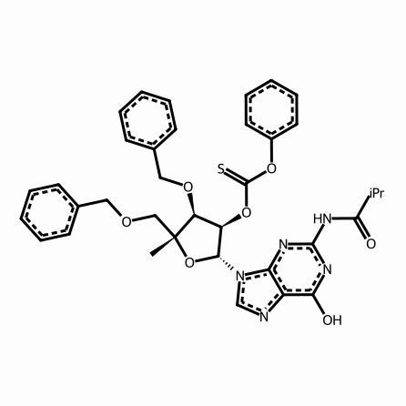 CC(C)C(=O)Nc1nc(O)c2ncn([C@@H]3O[C@](C)(COCc4ccccc4)[C@@H](OCc4ccccc4)[C@H]3OC(=S)Oc3ccccc3)c2n1